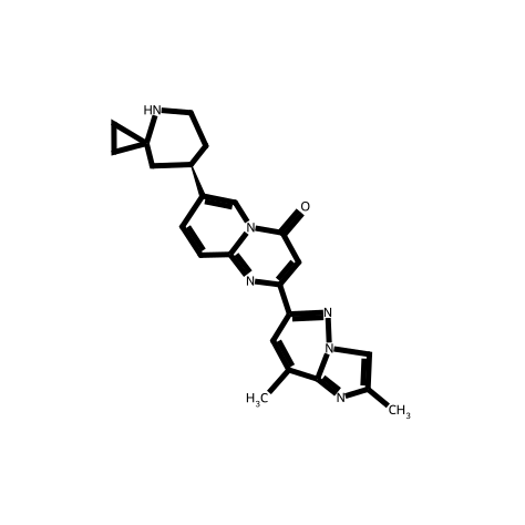 Cc1cn2nc(-c3cc(=O)n4cc([C@@H]5CCNC6(CC6)C5)ccc4n3)cc(C)c2n1